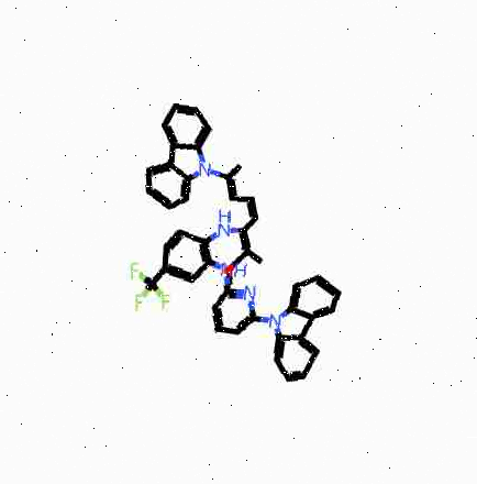 CC/C(C)=C(/C=C\C=C(/C)n1c2ccccc2c2ccccc21)Nc1ccc(C(F)(F)F)cc1Nc1cccc(-n2c3ccccc3c3ccccc32)n1